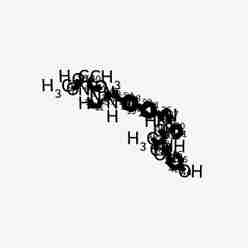 COC(=O)N[C@H](C(=O)N1CCC[C@H]1c1ncc(C23CCC(c4ccc(-c5cnc([C@@H]6CCCN6C(=O)[C@H](NC(=O)N6CCC(O)CC6)C(C)C)[nH]5)cc4)(CC2)CC3)[nH]1)C(C)C